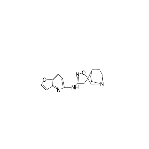 c1cc2nc(NC3=NOC4(C3)CN3CCC4CC3)ccc2o1